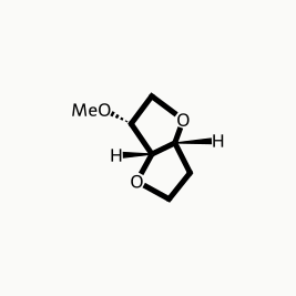 CO[C@@H]1CO[C@@H]2CCO[C@H]12